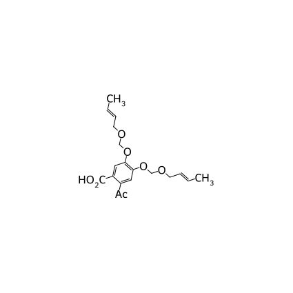 CC=CCOCOc1cc(C(C)=O)c(C(=O)O)cc1OCOCC=CC